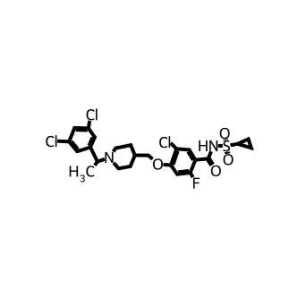 CC(c1cc(Cl)cc(Cl)c1)N1CCC(COc2cc(F)c(C(=O)NS(=O)(=O)C3CC3)cc2Cl)CC1